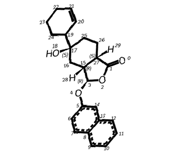 O=C1O[C@@H](Oc2ccc3ccccc3c2)[C@@H]2C[C@](O)(C3C=CCCC3)CC[C@H]12